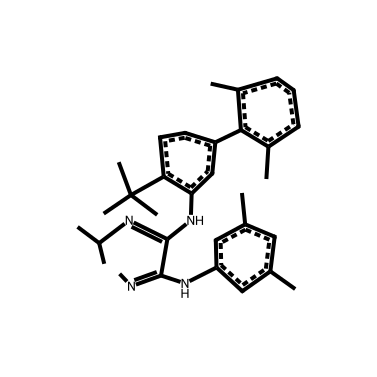 C/N=C(Nc1cc(C)cc(C)c1)\C(=N/C(C)C)Nc1cc(-c2c(C)cccc2C)ccc1C(C)(C)C